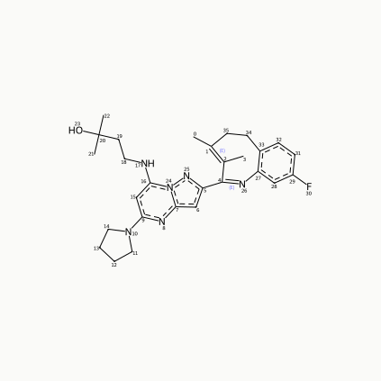 C/C1=C(C)\C(c2cc3nc(N4CCCC4)cc(NCCC(C)(C)O)n3n2)=N/c2cc(F)ccc2CC1